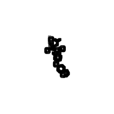 COCO[C@@]1(Cc2cc(OC3CCC4(CCCO4)CC3)ccn2)C(=O)N(COC)[C@H]1CC(C)C